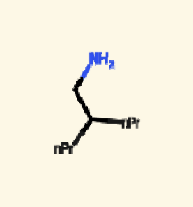 CCCC(CN)CCC